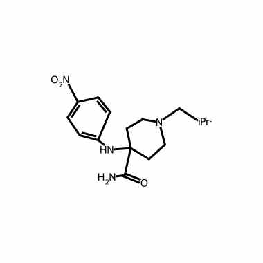 C[C](C)CN1CCC(Nc2ccc([N+](=O)[O-])cc2)(C(N)=O)CC1